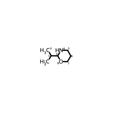 CC(C)C1NCCCO1